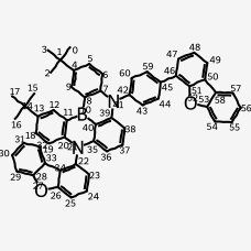 CC(C)(C)c1ccc2c(c1)B1c3cc(C(C)(C)C)ccc3N(c3cccc4oc5ccccc5c34)c3cccc(c31)N2c1ccc(-c2cccc3c2oc2ccccc23)cc1